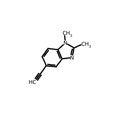 C#Cc1ccc2c(c1)nc(C)n2C